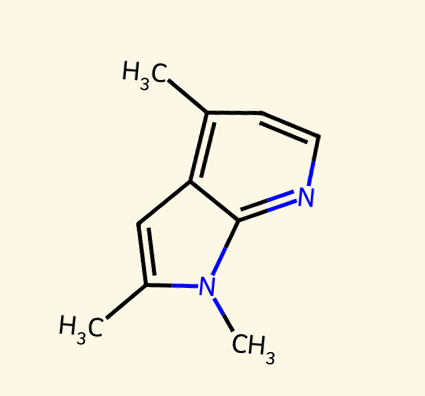 Cc1ccnc2c1cc(C)n2C